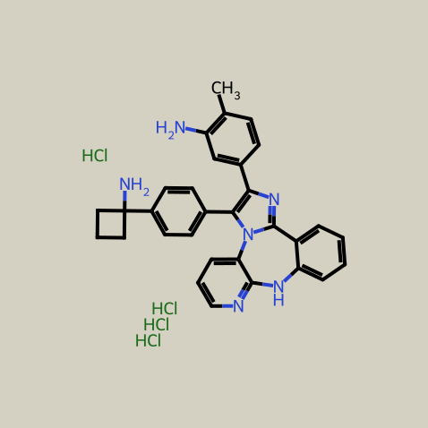 Cc1ccc(-c2nc3n(c2-c2ccc(C4(N)CCC4)cc2)-c2cccnc2Nc2ccccc2-3)cc1N.Cl.Cl.Cl.Cl